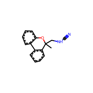 CC1(CNC#N)Oc2ccccc2-c2ccccc21